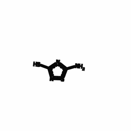 Nc1nc(S)ns1